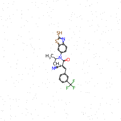 CC(C)N(C(=O)C(C#N)=Cc1cccc(C(F)(F)F)c1)c1ccc2nc(S)sc2c1